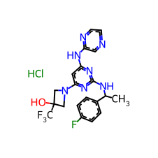 CC(Nc1nc(Nc2cnccn2)cc(N2CC(O)(C(F)(F)F)C2)n1)c1ccc(F)cc1.Cl